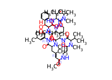 C/C=C\C=C(/C)CC(C(=O)N/C(=C/C(C)C)C(=O)N(C)C(CO)C(=O)N1NCCC[C@@H]1C(=O)N(C)C(Cc1ccccc1)C(=O)NC(C(=O)N(C)C(C)C)C(C)C)N(C)C(=O)C(C)NC(=O)C(C(C)C)N(C)C(=O)CCNC=O